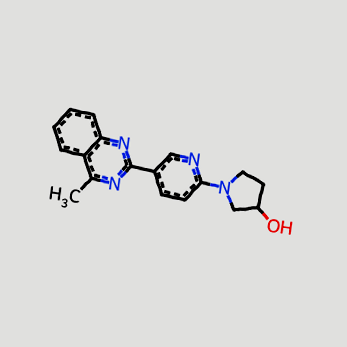 Cc1nc(-c2ccc(N3CCC(O)C3)nc2)nc2ccccc12